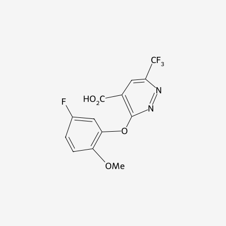 COc1ccc(F)cc1Oc1nnc(C(F)(F)F)cc1C(=O)O